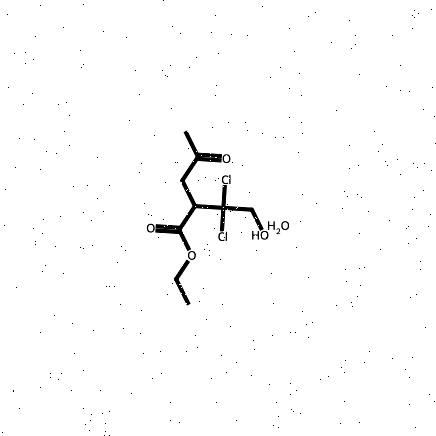 CCOC(=O)C(CC(C)=O)C(Cl)(Cl)CO.O